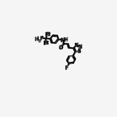 CCC(P)(CC)c1ccc(NC(=O)/C=C/c2nnsc2-c2ccc(F)cc2)cc1